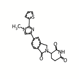 Cn1cc(-c2ccc3c(c2)CN(C2CCC(=O)NC2=O)C3=O)nc1-c1cccs1